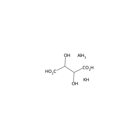 O=C(O)C(O)C(O)C(=O)O.[AlH3].[KH]